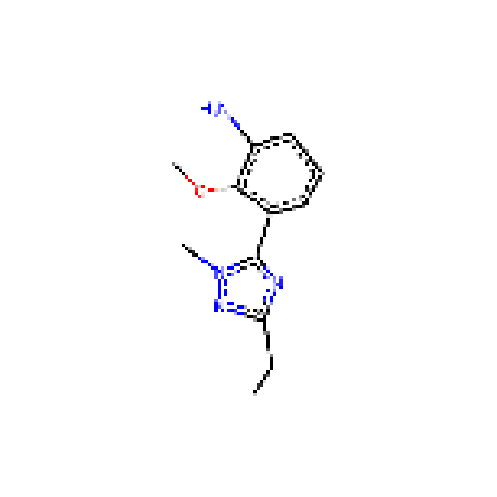 CCc1nc(-c2cccc(N)c2OC)n(C)n1